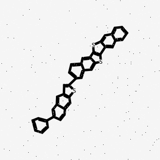 c1ccc(-c2ccc3cc4sc(-c5ccc6cc7c(cc6c5)sc5c6cc8ccccc8cc6sc75)cc4cc3c2)cc1